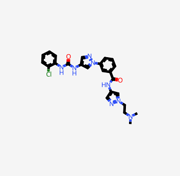 CN(C)CCn1cc(NC(=O)c2cccc(-n3cc(NC(=O)Nc4ccccc4Cl)cn3)c2)cn1